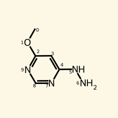 COc1cc(NN)ncn1